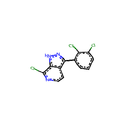 Clc1cccc(-c2n[nH]c3c(Cl)nccc23)c1Cl